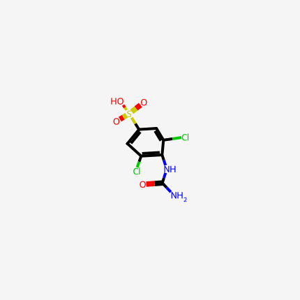 NC(=O)Nc1c(Cl)cc(S(=O)(=O)O)cc1Cl